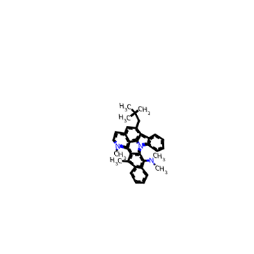 Cc1c2ccccc2c(N(C)C)c2c1c1c3c(cc[n+]1C)cc(CC(C)(C)C)c1c4ccccc4n2c13